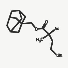 CC(=O)C(C)(CCC(C)(C)C)C(=O)OCC12CC3CC(CC(C3)C1)C2